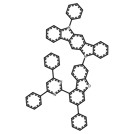 c1ccc(-c2cc(-c3nc(-c4ccccc4)cc(-c4ccccc4)n3)c3c(c2)oc2cc(-n4c5ccccc5c5cc6c(cc54)c4ccccc4n6-c4ccccc4)ccc23)cc1